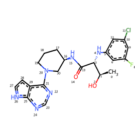 C[C@@H](O)[C@@H](Nc1cc(F)cc(Cl)c1)C(=O)N[C@@H]1CCCN(c2ncnc3[nH]ccc23)C1